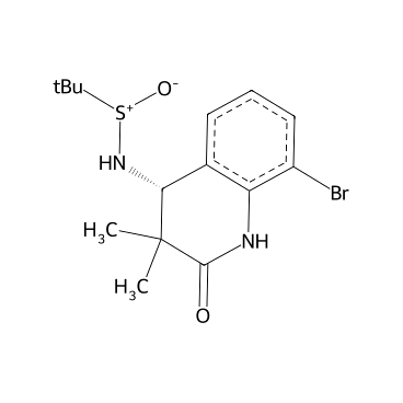 CC1(C)C(=O)Nc2c(Br)cccc2[C@H]1N[S+]([O-])C(C)(C)C